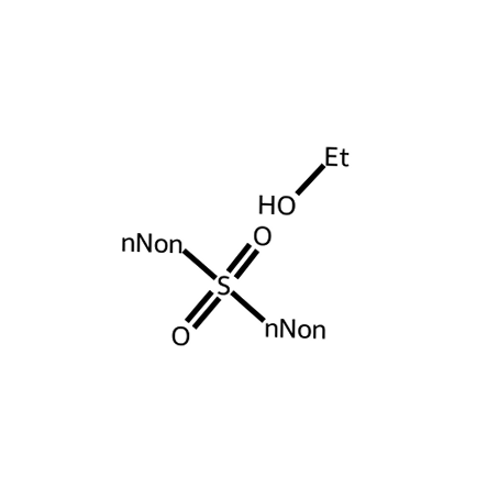 CCCCCCCCCS(=O)(=O)CCCCCCCCC.CCO